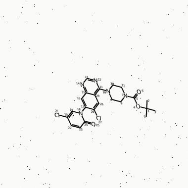 CC(C)(C)OC(=O)N1CCN(c2ncnc3cc(-n4cc(Cl)ccc4=O)c(Cl)cc23)CC1